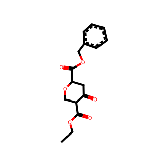 CCOC(=O)C1COC(C(=O)OCc2ccccc2)CC1=O